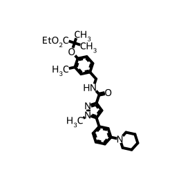 CCOC(=O)C(C)(C)Oc1ccc(CNC(=O)c2cc(-c3cccc(N4CCCCC4)c3)n(C)n2)cc1C